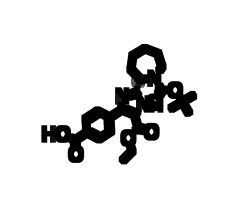 CCOC(=O)c1[nH]c([C@@H]2CCCCCN2C(=O)OC(C)(C)C)nc1-c1ccc(C(=O)O)cc1